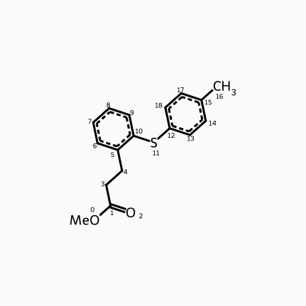 COC(=O)CCc1ccccc1Sc1ccc(C)cc1